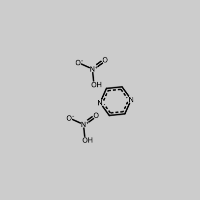 O=[N+]([O-])O.O=[N+]([O-])O.c1cnccn1